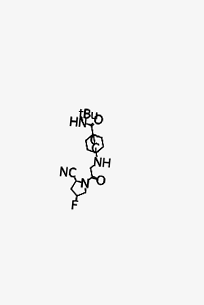 CC(C)(C)NC(=O)C12CCC(NCC(=O)N3C[C@@H](F)C[C@H]3C#N)(CC1)CC2